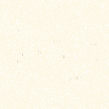 C=C/C=C(\C(O)=C/C)C(c1ccccn1)N(CCN(CC(=O)O)C(c1ccccn1)c1ccccc1O)CC(=O)O